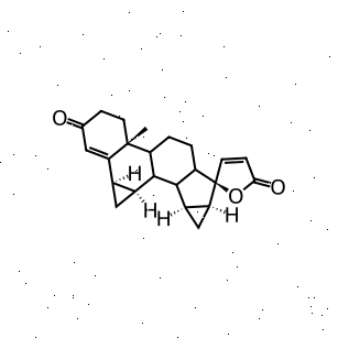 C[C@]12CCC(=O)C=C1[C@@H]1C[C@@H]1C1C3C(CCC12)[C@]1(C=CC(=O)O1)[C@H]1C[C@@H]31